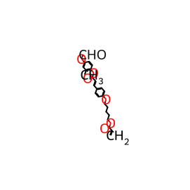 C=CC(=O)OCCCCCOc1ccc(/C=C/C(=O)Oc2ccc(OC=O)cc2C)cc1